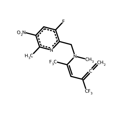 C=C=C(/C=C(\N(C)Cc1nc(C)c([N+](=O)[O-])cc1F)C(F)(F)F)C(F)(F)F